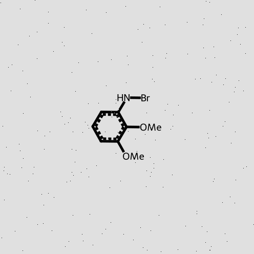 COc1cccc(NBr)c1OC